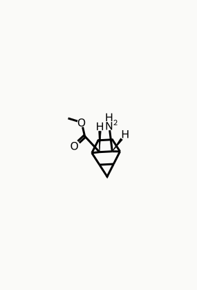 COC(=O)[C@H]1C2CCC(C3CC32)[C@H]1N